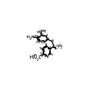 CC(C)c1cc(CC(C)c2ccc(C(=O)O)nc2)ccc1N